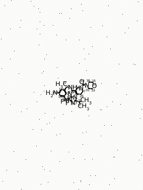 CC(C)c1nnc2nc(N[C@H](C)c3cc(N)cc(C(F)(F)F)c3)c3c(n12)CCN(C(=O)N1CCOCC1)C3